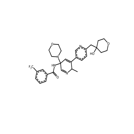 CC1N=CC(NC(=O)c2cccc(C(F)(F)F)c2)(N2CCOCC2)C=C1c1ccc(CC2(O)CCOCC2)nc1